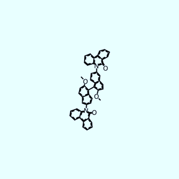 COc1ccc2cc(-n3c(=O)c4ccccc4c4ccccc43)ccc2c1-c1c(OC)ccc2cc(-n3c(=O)c4ccccc4c4ccccc43)ccc12